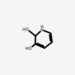 O[C]1NC=CC=C1O